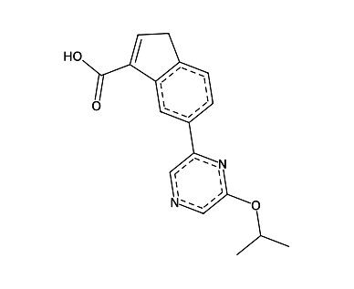 CC(C)Oc1cncc(-c2ccc3c(c2)C(C(=O)O)=CC3)n1